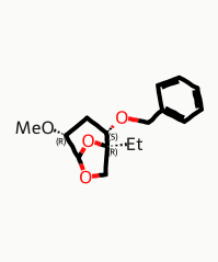 CC[C@]12COC(O1)[C@H](OC)C[C@@H]2OCc1ccccc1